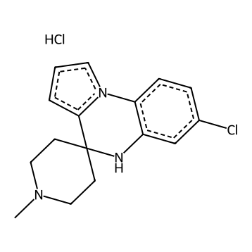 CN1CCC2(CC1)Nc1cc(Cl)ccc1-n1cccc12.Cl